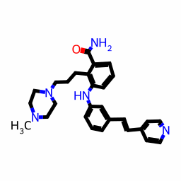 CN1CCN(CCCc2c(Nc3cccc(C=Cc4ccncc4)c3)cccc2C(N)=O)CC1